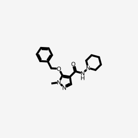 Cn1ncc(C(=O)NN2CCCCC2)c1OCc1ccccc1